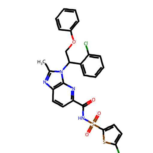 Cc1nc2ccc(C(=O)NS(=O)(=O)c3ccc(Br)s3)nc2n1C(COc1ccccc1)c1ccccc1Cl